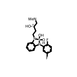 CNC[C@@H](O)CCN1c2ccccc2N(c2cc(F)ccc2F)S1(O)O